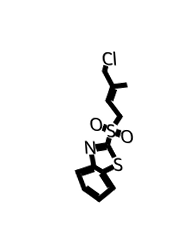 C/C(=C\CS(=O)(=O)c1nc2ccccc2s1)CCl